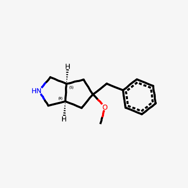 COC1(Cc2ccccc2)C[C@H]2CNC[C@H]2C1